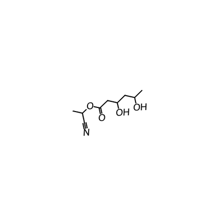 CC(O)CC(O)CC(=O)OC(C)C#N